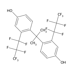 CC(C)(c1ccc(O)cc1C(F)(F)C(F)(F)C(F)(F)F)c1ccc(O)cc1C(F)(F)C(F)(F)C(F)(F)F